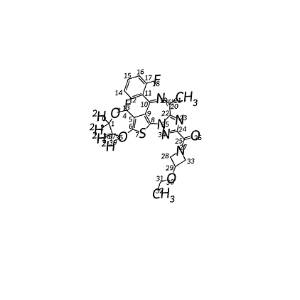 [2H]C1([2H])OCc2c(sc3c2C(c2c(F)cccc2F)=N[C@@H](C)c2nc(C(=O)N4CC(OCC)C4)nn2-3)OC1([2H])[2H]